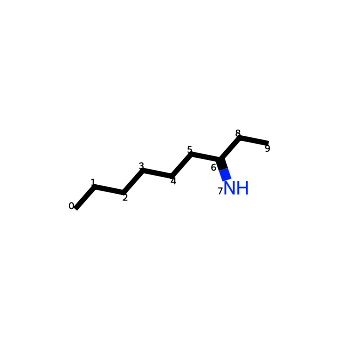 CCCCCCC(=N)CC